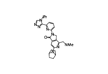 CNCc1nc(N2C3CCC2CC3)cc2c1CN(c1cccc(-c3nncn3C(C)C)n1)C2=O